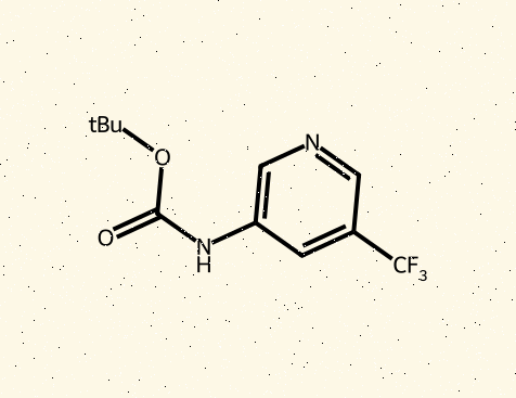 CC(C)(C)OC(=O)Nc1cncc(C(F)(F)F)c1